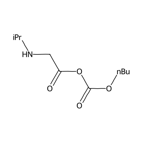 CCCCOC(=O)OC(=O)CNC(C)C